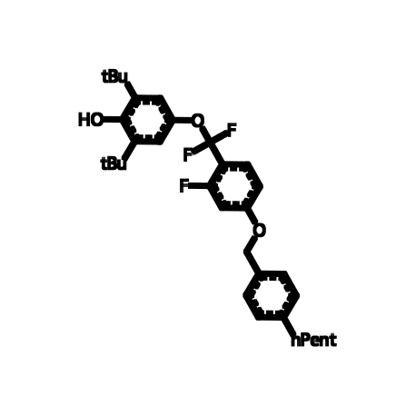 CCCCCc1ccc(COc2ccc(C(F)(F)Oc3cc(C(C)(C)C)c(O)c(C(C)(C)C)c3)c(F)c2)cc1